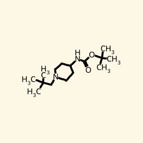 CC(C)(C)CN1CCC(NC(=O)OC(C)(C)C)CC1